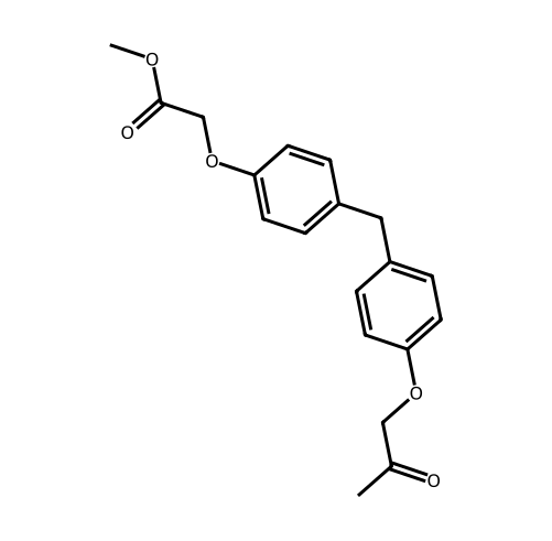 COC(=O)COc1ccc(Cc2ccc(OCC(C)=O)cc2)cc1